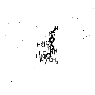 CC1(C)CC(n2nnc3cc(-c4ccc(-c5ncc(C#N)s5)cc4O)nnc32)CC(C)(C)N1.Cl